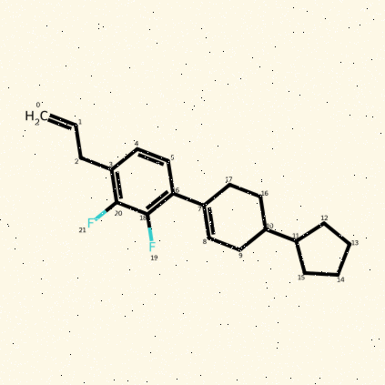 C=CCc1ccc(C2=CCC(C3CCCC3)CC2)c(F)c1F